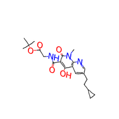 Cn1c(=O)c(C(=O)NCC(=O)OC(C)(C)C)c(O)c2cc(CCC3CC3)cnc21